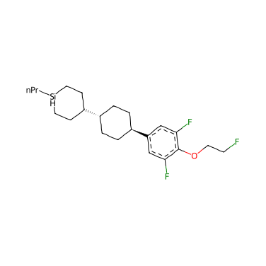 CCC[SiH]1CCC([C@H]2CC[C@H](c3cc(F)c(OCCF)c(F)c3)CC2)CC1